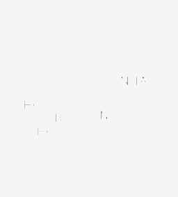 CC(=O)Nc1ncc(B(O)O)cc1C